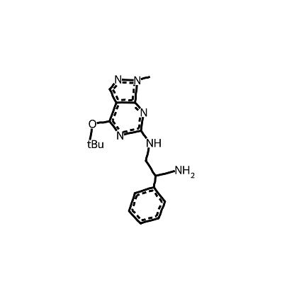 Cn1ncc2c(OC(C)(C)C)nc(NCC(N)c3ccccc3)nc21